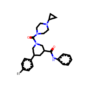 CCc1ccc(C2CC(C(=O)Nc3ccccc3)CN(C(=O)N3CCN(C4CC4)CC3)C2)cc1